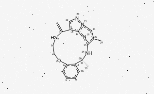 C=C1NCCOc2ccccc2[C@@H](C)Nc2nc3c1cnn3cc2C